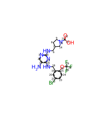 Nc1cnc(NCC2CCN(C(=O)O)C2)nc1NCc1cc(Br)ccc1OC(F)(F)F